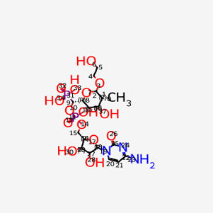 C[C@H]1C(OCCO)O[C@@H](C(OP(=O)(O)OC[C@H]2O[C@@H](n3ccc(N)nc3=O)C(O)[C@H]2O)P(=O)(O)O)C[C@H]1O